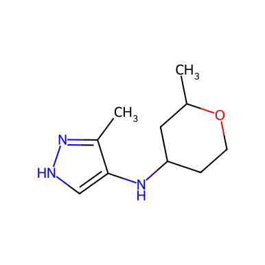 Cc1n[nH]cc1NC1CCOC(C)C1